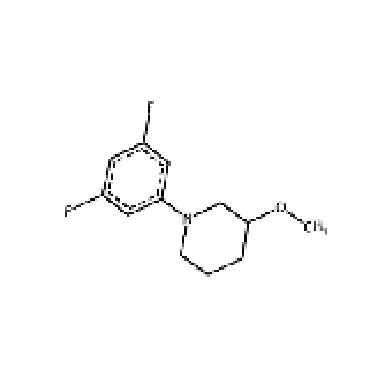 COC1CCCN(c2cc(F)cc(F)c2)C1